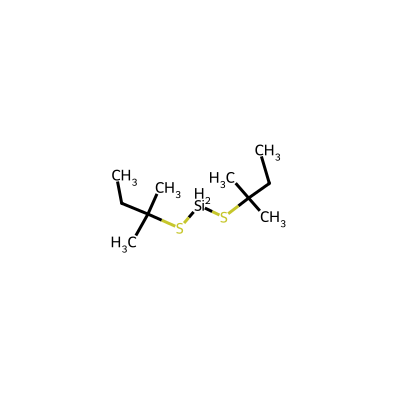 CCC(C)(C)S[SiH2]SC(C)(C)CC